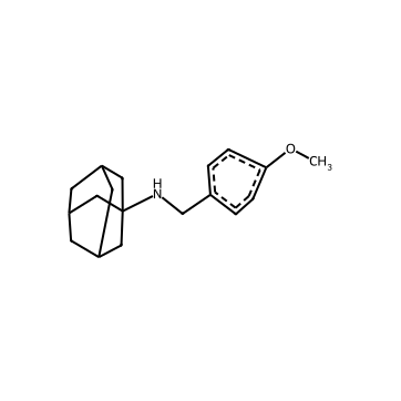 COc1ccc(CNC23CC4CC(CC(C4)C2)C3)cc1